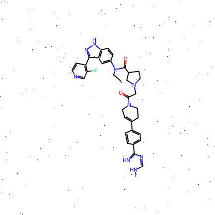 CCN(C(=O)C1CCN(CC(=O)N2CC=C(c3ccc(C(=N)/N=C\NC)cc3)CC2)C1)c1ccc2[nH]nc(-c3ccncc3F)c2c1